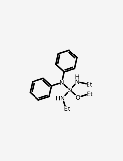 CCN[Si](NCC)(OCC)N(c1ccccc1)c1ccccc1